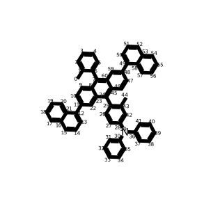 Cc1ccccc1-c1c2ccc(-c3cccc4ccccc34)cc2c(-c2ccc(N(c3ccccc3)c3ccccc3)cc2C)c2ccc(-c3cccc4ccccc34)cc12